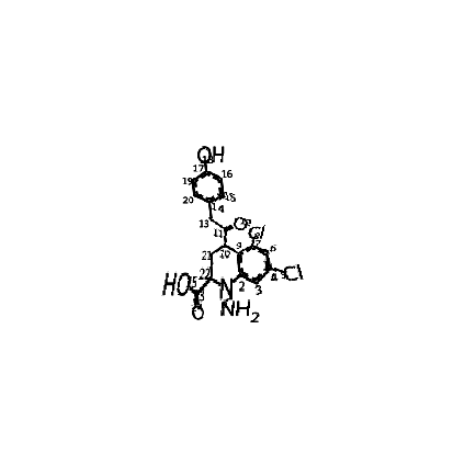 NN1c2cc(Cl)cc(Cl)c2C(C(=O)Cc2ccc(O)cc2)CC1C(=O)O